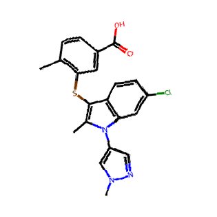 Cc1ccc(C(=O)O)cc1Sc1c(C)n(-c2cnn(C)c2)c2cc(Cl)ccc12